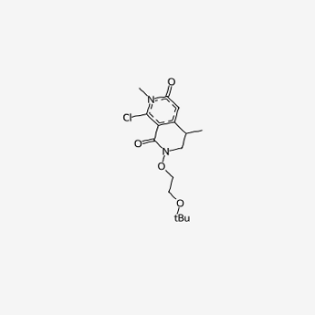 CC1CN(OCCOC(C)(C)C)C(=O)c2c1cc(=O)n(C)c2Cl